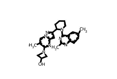 Cc1ccc2nc(C)nc(N3CCCCC3c3cc4nc(N5CC(O)C5)c(C)cn4n3)c2c1